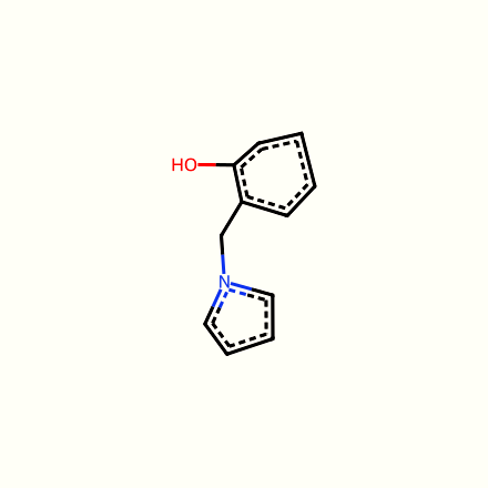 Oc1ccccc1Cn1cccc1